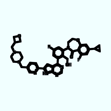 O=C1c2c(F)cc(C3CC3)cc2OCCN1c1cc(F)cc(-c2ncnc3[nH]c(-c4ccc(CN5CCN(CC6COC6)CC5)cn4)cc23)c1CO